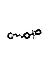 c1ccc2[nH]c(-c3ccc(CNCCN4CCCCC4)cc3)nc2c1